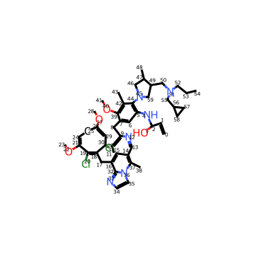 C=CC(O)Nc1cc(CC(=C/C)/N=C\c2cc(C/C3=C(Cl)/C(OC)=C\C/C(OC)=C\C3Cl)c3nccn3c2C)c(OC)c(C)c1N1CC(C)C(CN(CCC)CC2CC2)C1